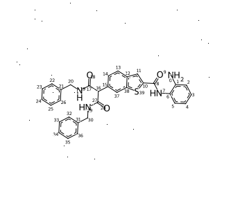 Nc1ccccc1NC(=O)c1cc2ccc(C(C(=O)NCc3ccccc3)C(=O)NCc3ccccc3)cc2s1